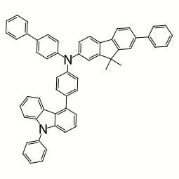 CC1(C)c2cc(-c3ccccc3)ccc2-c2ccc(N(c3ccc(-c4ccccc4)cc3)c3ccc(-c4cccc5c4c4ccccc4n5-c4ccccc4)cc3)cc21